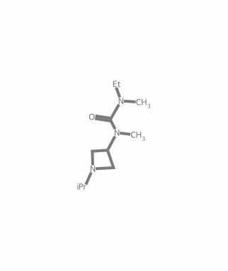 CCN(C)C(=O)N(C)C1CN(C(C)C)C1